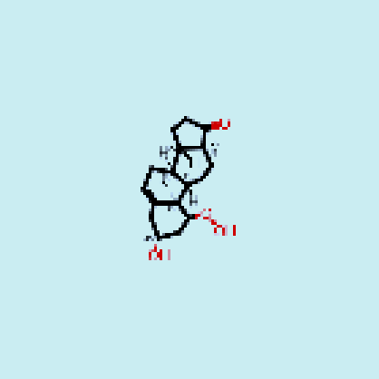 C[C@]12CC[C@H]3[C@@H](CC=C4C[C@@H](O)CC(OO)[C@@]43C)[C@@H]1CCC2=O